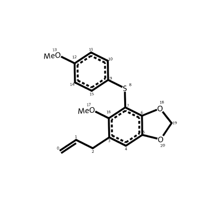 C=CCc1cc2c(c(Sc3ccc(OC)cc3)c1OC)OCO2